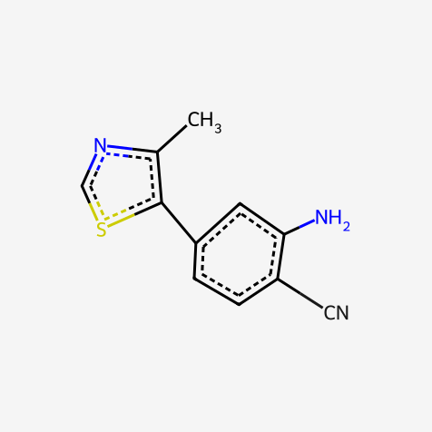 Cc1ncsc1-c1ccc(C#N)c(N)c1